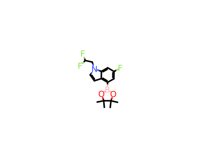 CC1(C)OB(c2cc(F)cc3c2ccn3CC(F)F)OC1(C)C